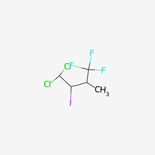 CC(C(I)C(Cl)Cl)C(F)(F)F